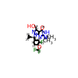 CN(C)c1nc2c(c(CO)nn2[C@@H](c2ccc(OC(F)F)c(F)c2)C2CC2)c(=O)[nH]1